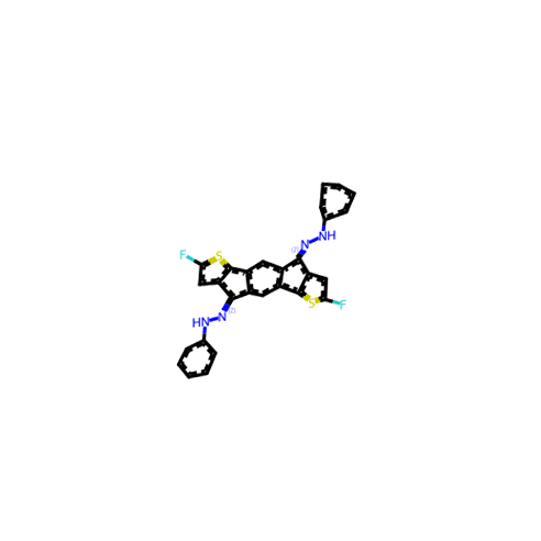 Fc1cc2/c(=N\Nc3ccccc3)c3cc4c(cc3c2s1)/c(=N/Nc1ccccc1)c1cc(F)sc14